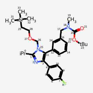 CC(C)c1nc(-c2ccc(F)cc2)c(-c2cccc(CN(C)C(=O)OC(C)(C)C)c2)n1COCC[Si](C)(C)C